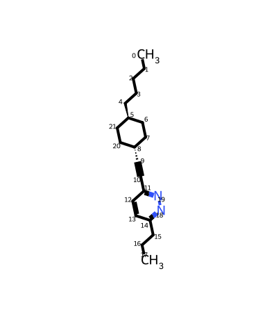 CCCCC[C@H]1CC[C@H](C#Cc2ccc(CCC)nn2)CC1